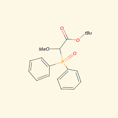 COC(C(=O)OC(C)(C)C)P(=O)(c1ccccc1)c1ccccc1